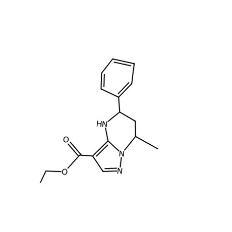 CCOC(=O)c1cnn2c1NC(c1ccccc1)CC2C